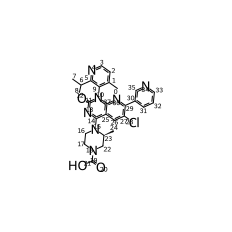 Cc1ccnc(C(C)C)c1-n1c(=O)nc(N2CCN(C(=O)O)C[C@@H]2C)c2cc(Cl)c(-c3cccnc3)nc21